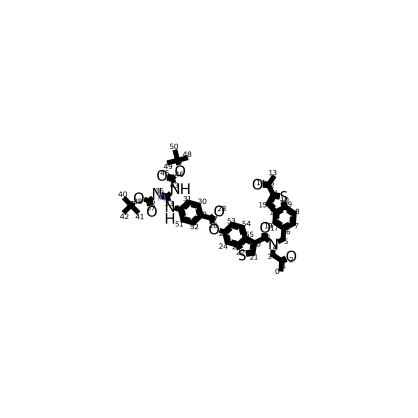 CC(=O)CN(Cc1ccc2sc(C(C)=O)cc2c1)C(=O)c1csc2cc(OC(=O)c3ccc(N/C(=N\C(=O)OC(C)(C)C)NC(=O)OC(C)(C)C)cc3)ccc12